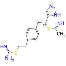 CC(=N)S[C@@H](Cc1ccc(CCSC(=N)N)cc1)c1cnc[nH]1